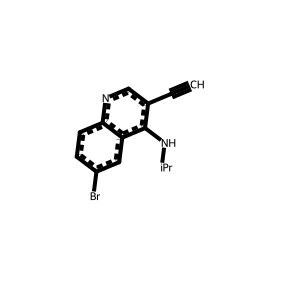 C#Cc1cnc2ccc(Br)cc2c1NC(C)C